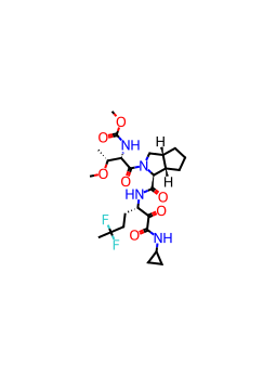 COC(=O)N[C@H](C(=O)N1C[C@@H]2CCC[C@@H]2[C@H]1C(=O)N[C@@H](CCC(C)(F)F)C(=O)C(=O)NC1CC1)[C@@H](C)OC